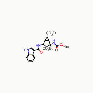 CCOC(=O)[C@H]1C2C(NC(=O)c3c[nH]c4ccccc34)CC(NC(=O)OC(C)(C)C)(C(=O)OCC)C21